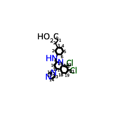 O=C(O)CCc1cccc(Nc2cc(-n3ccnc3)c3ccc(Cl)c(Cl)c3n2)c1